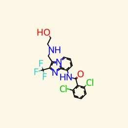 O=C(Nc1cccn2c(CNCCO)c(C(F)(F)F)nc12)c1c(Cl)cccc1Cl